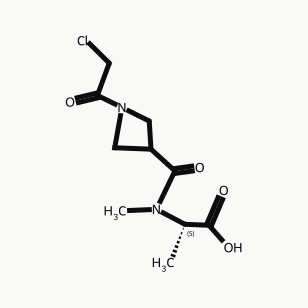 C[C@@H](C(=O)O)N(C)C(=O)C1CN(C(=O)CCl)C1